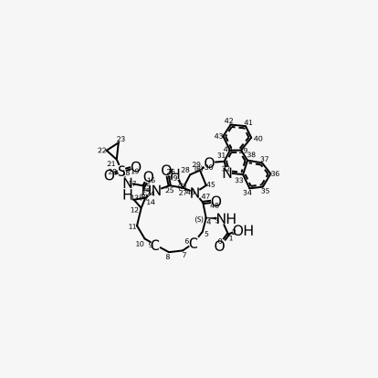 O=C(O)N[C@H]1CCCCCCCC2C[C@@]2(C(=O)NS(=O)(=O)C2CC2)NC(=O)[C@@H]2C[C@@H](Oc3nc4ccccc4c4ccccc34)CN2C1=O